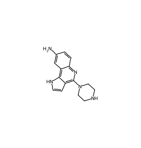 Nc1ccc2nc(N3CCNCC3)c3cc[nH]c3c2c1